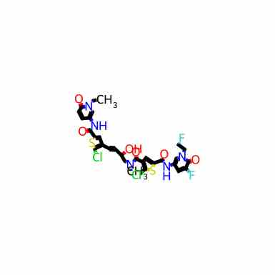 CCn1cc(NC(=O)c2cc(C#CC(O)CN(C)C(=O)c3cc(C(=O)Nc4cc(F)c(=O)n(CCF)c4)sc3Cl)c(Cl)s2)ccc1=O